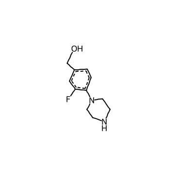 OCc1ccc(N2CCNCC2)c(F)c1